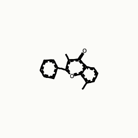 Cc1c(-c2ccccc2)oc2c(C)cccc2c1=O